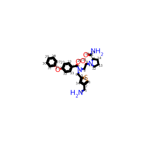 NCc1csc(CN(CC(=O)N2CCC[C@H]2C(N)=O)C(=O)c2ccc(Oc3ccccc3)cc2)c1